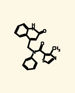 Cc1ncsc1C(=O)N(Cc1cc(=O)[nH]c2ccccc12)c1ccccc1